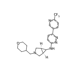 FC(F)(F)c1ccc(-c2ccc(NC3[C@H]4CN(CC5CCOCC5)C[C@@H]34)nn2)cn1